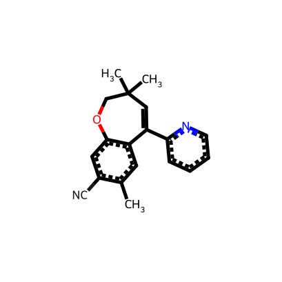 Cc1cc2c(cc1C#N)OCC(C)(C)C=C2c1ccccn1